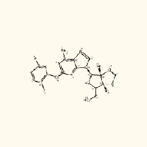 Nc1nc(Oc2cc(F)ccc2F)nc2c1ncn2[C@@H]1O[C@H](CO)[C@H]2OCO[C@H]21